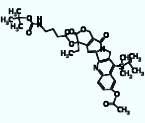 CCC1(OC(=O)CCCNC(=O)OC(C)(C)C)C(=O)OCc2c1cc1n(c2=O)Cc2c-1nc1ccc(OC(C)=O)cc1c2[Si](C)(C)C(C)C